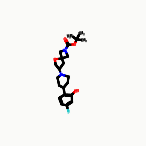 CC(C)(C)OC(=O)N1CC2(C[C@H](N3CCC(c4ccc(F)cc4O)CC3)CO2)C1